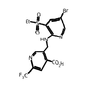 CCS(=O)(=O)c1cc(Br)cnc1NCc1cnc(C(F)(F)F)cc1C(=O)O